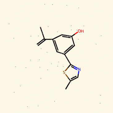 C=C(C)c1cc(O)cc(-c2ncc(C)s2)c1